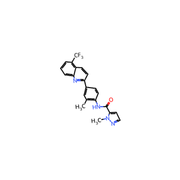 Cc1cc(-c2ccc3c(C(F)(F)F)cccc3n2)ccc1NC(=O)c1ccnn1C